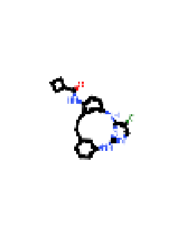 O=C(Nc1ccc2cc1CCc1cccc(c1)Nc1ncc(Cl)c(n1)N2)C1CCC1